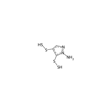 Nn1ncc(SS)c1SS